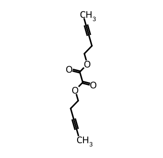 CC#CCCOC(=O)C(=O)OCCC#CC